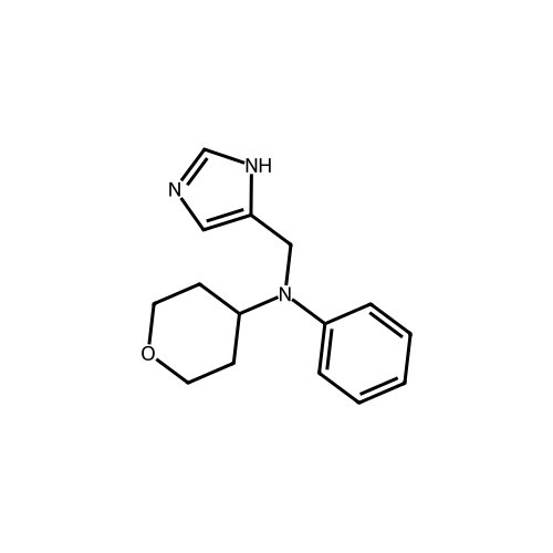 c1ccc(N(Cc2cnc[nH]2)C2CCOCC2)cc1